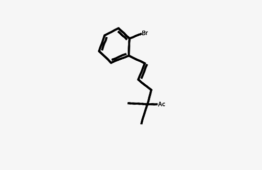 CC(=O)C(C)(C)CC=Cc1ccccc1Br